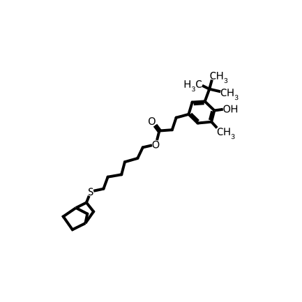 Cc1cc(CCC(=O)OCCCCCCSC2CC3CCC2C3)cc(C(C)(C)C)c1O